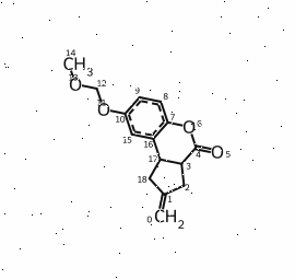 C=C1CC2C(=O)Oc3ccc(OCOC)cc3C2C1